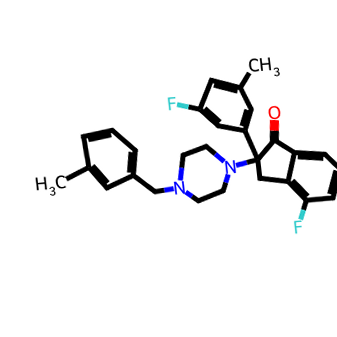 Cc1cccc(CN2CCN(C3(c4cc(C)cc(F)c4)Cc4c(F)cccc4C3=O)CC2)c1